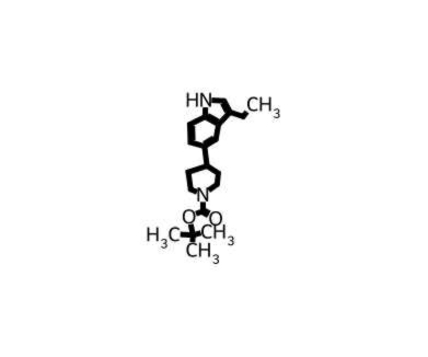 CCc1c[nH]c2ccc(C3CCN(C(=O)OC(C)(C)C)CC3)cc12